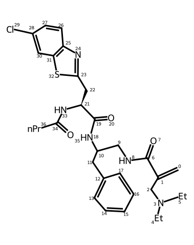 C=C(CN(CC)CC)C(=O)NCC(Cc1ccccc1)NC(=O)[C@H](Cc1nc2ccc(Cl)cc2s1)NC(=O)CCC